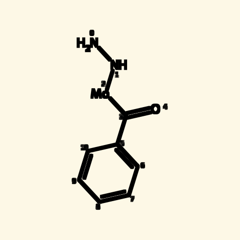 N[NH][Mo][C](=O)c1ccccc1